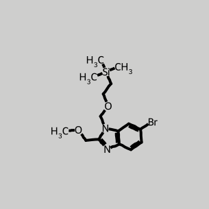 COCc1nc2ccc(Br)cc2n1COCC[Si](C)(C)C